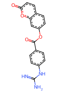 N=C(N)Nc1ccc(C(=O)Oc2ccc3ccc(=O)oc3c2)cc1